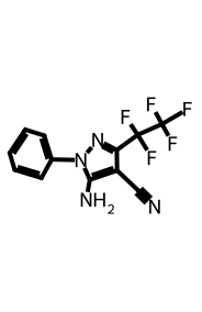 N#Cc1c(C(F)(F)C(F)(F)F)nn(-c2ccccc2)c1N